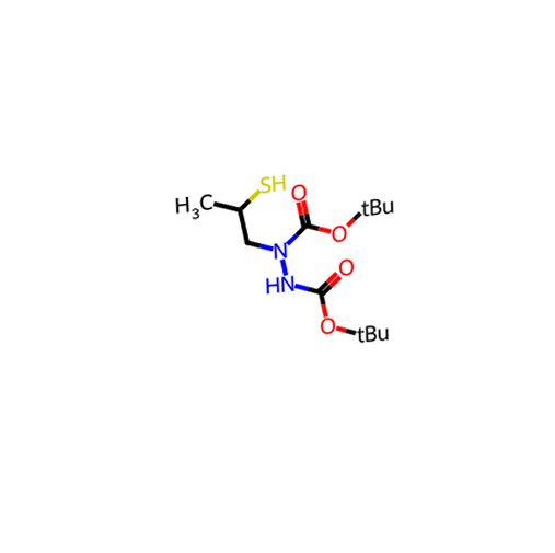 CC(S)CN(NC(=O)OC(C)(C)C)C(=O)OC(C)(C)C